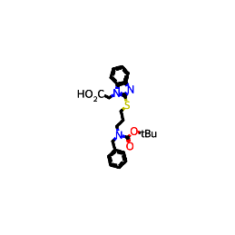 CC(C)(C)OC(=O)N(CCCSc1nc2ccccc2n1CC(=O)O)Cc1ccccc1